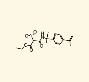 C=C(C)c1ccc(C(C)(C)NC(=O)C(C(=O)OCC)[N+](=O)[O-])cc1